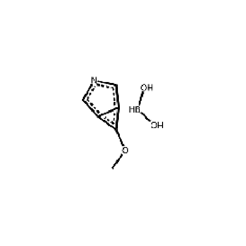 COc1c2cncc1-2.OBO